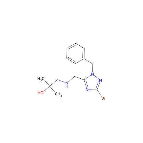 CC(C)(O)CNCc1nc(Br)nn1Cc1ccccc1